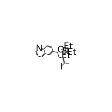 CC[Si](CC)(CC)OC(CC=C(C)I)c1ccc2ncccc2c1